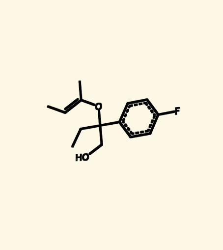 CC=C(C)OC(CC)(CO)c1ccc(F)cc1